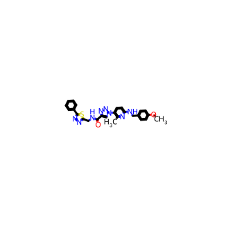 COc1ccc(CNc2ccc(-n3cc(C(=O)NCc4nnc(-c5ccccc5)s4)nn3)c(C)n2)cc1